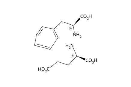 N[C@@H](Cc1ccccc1)C(=O)O.N[C@H](CCC(=O)O)C(=O)O